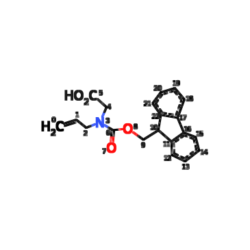 C=CCN(CC(=O)O)C(=O)OCC1c2ccccc2-c2ccccc21